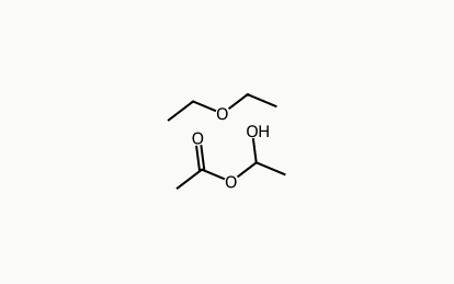 CC(=O)OC(C)O.CCOCC